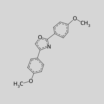 COc1ccc(-c2coc(-c3ccc(OC)cc3)n2)cc1